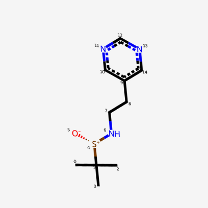 CC(C)(C)[S@+]([O-])NCCc1cncnc1